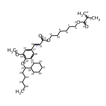 C=C(C)C(=O)OCCCCCCOC(=O)/C=C/c1ccc(OC(CCCCC)C2CCCCC2)c(OC)c1